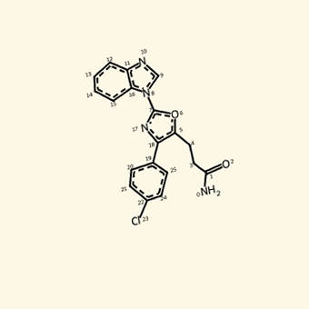 NC(=O)CCc1oc(-n2cnc3ccccc32)nc1-c1ccc(Cl)cc1